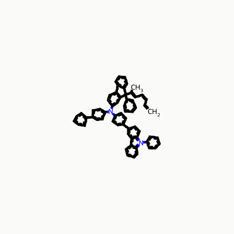 C=C/C=C\C=C(/C)C1(c2ccccc2)c2ccccc2-c2ccc(N(c3ccc(-c4ccccc4)cc3)c3ccc(-c4ccc5c(c4)c4ccccc4n5-c4ccccc4)cc3)cc21